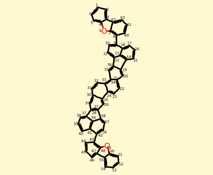 c1ccc2c(c1)oc1c(-c3ccc4c5c(cccc35)-c3cc5ccc6c7cc8c(cc7ccc6c5cc3-4)-c3cccc4c(-c5cccc6c5oc5ccccc56)ccc-8c34)cccc12